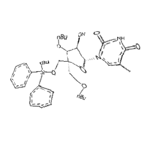 CCCCOC[C@@]1(CO[Si](c2ccccc2)(c2ccccc2)C(C)(C)C)O[C@@H](n2cc(C)c(=O)[nH]c2=O)[C@H](O)C1OCCCC